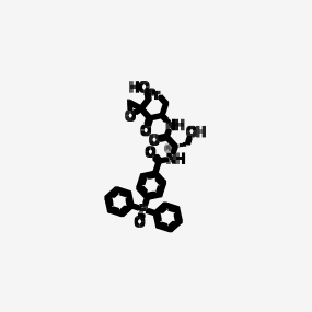 CC(C)CC(NC(=O)[C@H](CO)NC(=O)c1ccc(P(=O)(c2ccccc2)c2ccccc2)cc1)C(=O)C1(CO)CO1